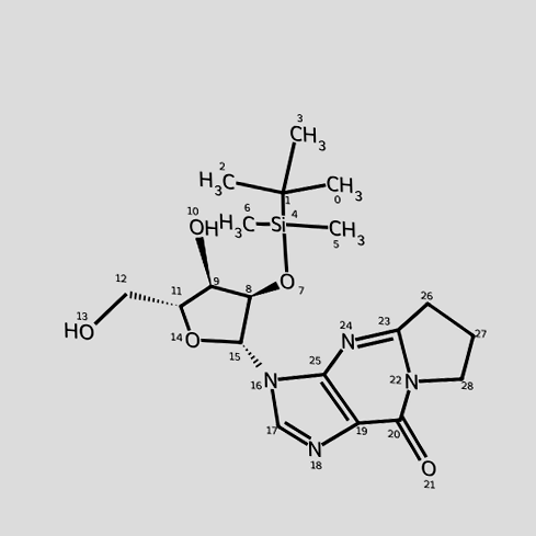 CC(C)(C)[Si](C)(C)O[C@@H]1[C@H](O)[C@@H](CO)O[C@H]1n1cnc2c(=O)n3c(nc21)CCC3